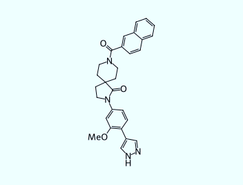 COc1cc(N2CCC3(CCN(C(=O)c4ccc5ccccc5c4)CC3)C2=O)ccc1-c1cn[nH]c1